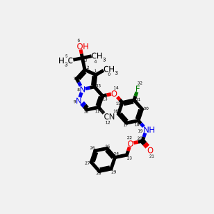 Cc1c(C(C)(C)O)cn2ncc(C#N)c(Oc3ccc(NC(=O)OCc4ccccc4)cc3F)c12